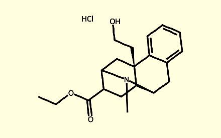 CCOC(=O)C1CC2C3Cc4ccccc4[C@@]2(CCO)CC1N3C.Cl